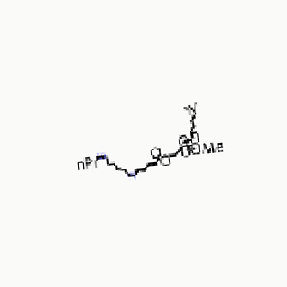 CCC/C=C\CCCC/C=C\CCCCC(=O)OCCCOP(=O)(OC)OCCCCN(C)C